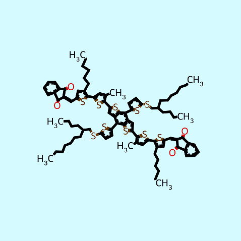 CCCCCCCC(CCCC)CSc1ccc(-c2c3cc(-c4sc(-c5sc(C=C6C(=O)c7ccccc7C6=O)cc5CCCCCC)cc4C)sc3c(-c3ccc(SCC(CCCC)CCCCCCC)s3)c3cc(-c4sc(-c5sc(C=C6C(=O)c7ccccc7C6=O)cc5CCCCCC)cc4C)sc23)s1